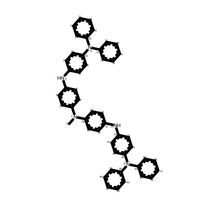 CN(c1ccc(Nc2ccc(N(c3ccccc3)c3ccccc3)cc2)cc1)c1ccc(Nc2ccc(N(c3ccccc3)c3ccccc3)cc2)cc1